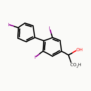 O=C(O)C(O)c1cc(I)c(-c2ccc(I)cc2)c(I)c1